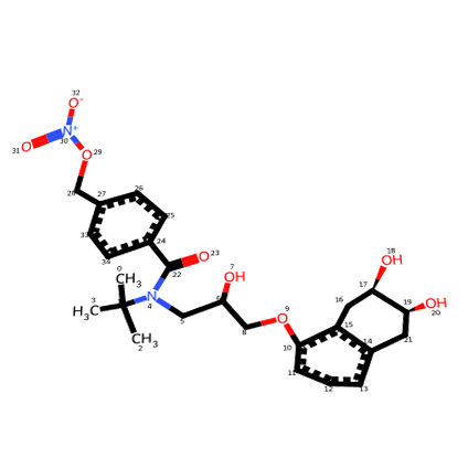 CC(C)(C)N(CC(O)COc1cccc2c1C[C@@H](O)[C@@H](O)C2)C(=O)c1ccc(CO[N+](=O)[O-])cc1